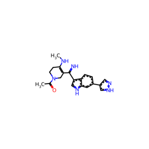 CNC1=C(C(=N)c2c[nH]c3cc(-c4cn[nH]c4)ccc23)CN(C(C)=O)CC1